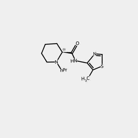 CCCN1CCCC[C@H]1C(=O)Nc1ncsc1C